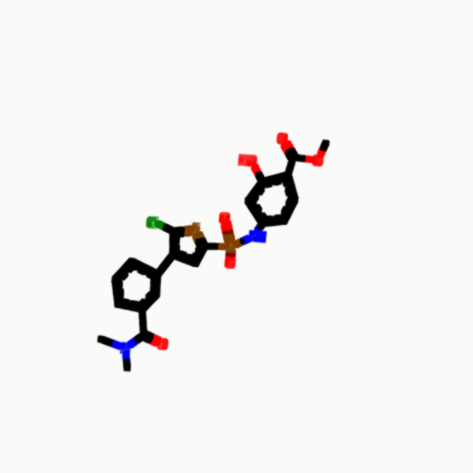 COC(=O)c1ccc(NS(=O)(=O)c2cc(-c3cccc(C(=O)N(C)C)c3)c(Cl)s2)cc1O